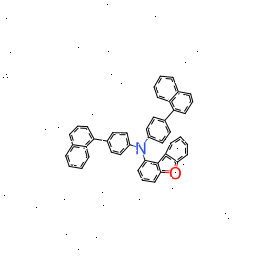 c1ccc2c(-c3ccc(N(c4ccc(-c5cccc6ccccc56)cc4)c4cccc5oc6ccccc6c45)cc3)cccc2c1